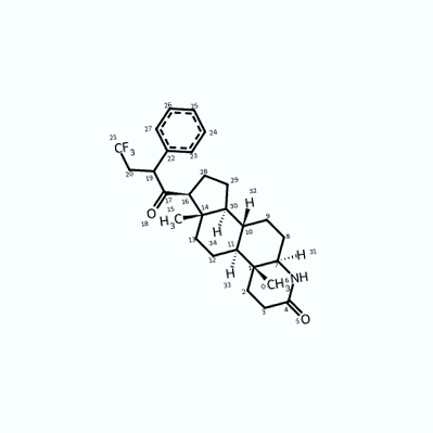 C[C@]12CCC(=O)N[C@@H]1CC[C@@H]1[C@@H]2CC[C@]2(C)[C@@H](C(=O)C(CC(F)(F)F)c3ccccc3)CC[C@@H]12